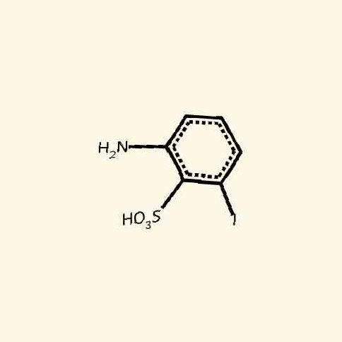 Nc1cccc(I)c1S(=O)(=O)O